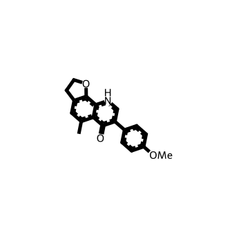 COc1ccc(-c2c[nH]c3c4c(cc(C)c3c2=O)CCO4)cc1